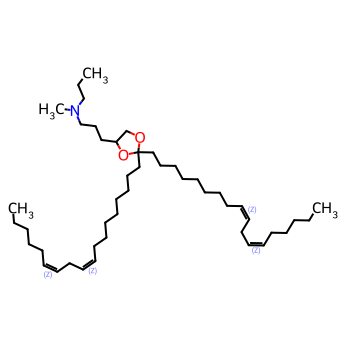 CCCCC/C=C\C/C=C\CCCCCCCCC1(CCCCCCCC/C=C\C/C=C\CCCCC)OCC(CCCN(C)CCC)O1